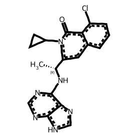 C[C@@H](Nc1ncnc2[nH]cnc12)c1cc2cccc(Cl)c2c(=O)n1C1CC1